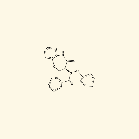 O=C1Nc2ccccc2OC[C@@H]1N(Oc1ccccc1)C(=O)c1ccccc1